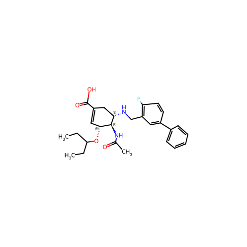 CCC(CC)O[C@@H]1C=C(C(=O)O)C[C@H](NCc2cc(-c3ccccc3)ccc2F)[C@H]1NC(C)=O